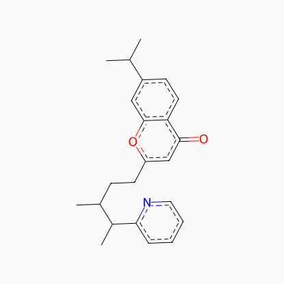 CC(C)c1ccc2c(=O)cc(CCC(C)C(C)c3ccccn3)oc2c1